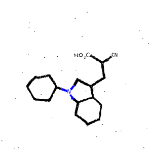 N#CC(CC1CN(C2CCCCC2)C2CCCCC12)C(=O)O